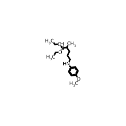 CCO[SiH](OCC)C(C)CCCNc1ccc(OC)cc1